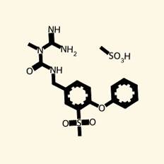 CN(C(=N)N)C(=O)NCc1ccc(Oc2ccccc2)c(S(C)(=O)=O)c1.CS(=O)(=O)O